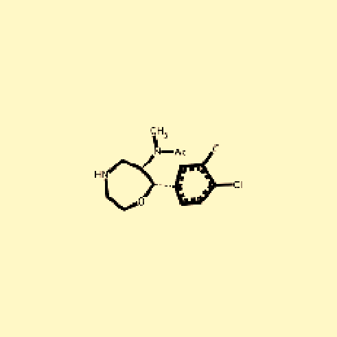 CC(=O)N(C)[C@@H]1CNCCO[C@H]1c1ccc(Cl)c(Cl)c1